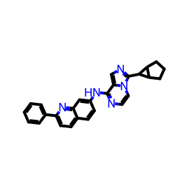 c1ccc(-c2ccc3ccc(Nc4nccn5c(C6C7CCCC76)ncc45)cc3n2)cc1